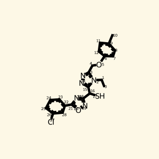 CCn1c(COc2ccc(C)cc2)nnc1C(S)c1noc(-c2cccc(Cl)c2)n1